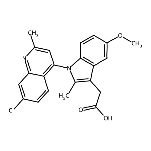 COc1ccc2c(c1)c(CC(=O)O)c(C)n2-c1cc(C)nc2cc(Cl)ccc12